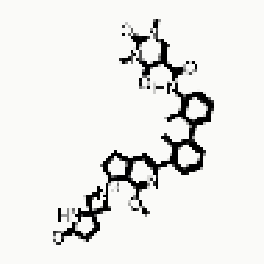 COc1nc(-c2cccc(-c3cccc(NC(=O)c4cn(C)c(=O)n(C)c4=O)c3C)c2C)cc2c1[C@@H](N1CC3(CCC(=O)N3)C1)CC2